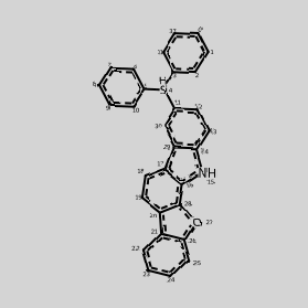 c1ccc([SiH](c2ccccc2)c2ccc3[nH]c4c(ccc5c6ccccc6oc54)c3c2)cc1